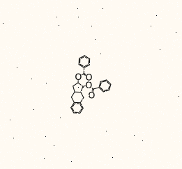 O=C(OC1CC2Cc3ccccc3CC2C1OC(=O)c1ccccc1)c1ccccc1